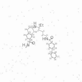 CCC(CCCCNC(=O)c1ccc(-c2ccccc2)cc1)NC1CCc2ccc(C(N)=O)cc2C1